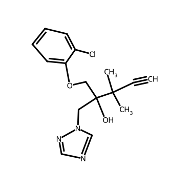 C#CC(C)(C)C(O)(COc1ccccc1Cl)Cn1cncn1